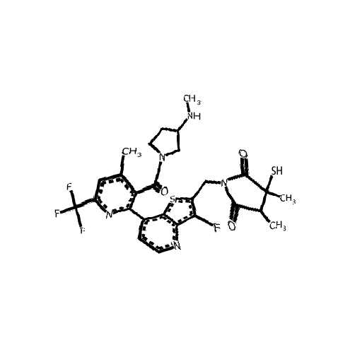 CNC1CCN(C(=O)c2c(C)cc(C(F)(F)F)nc2-c2ccnc3c(F)c(CN4C(=O)C(C)C(C)(S)C4=O)sc23)C1